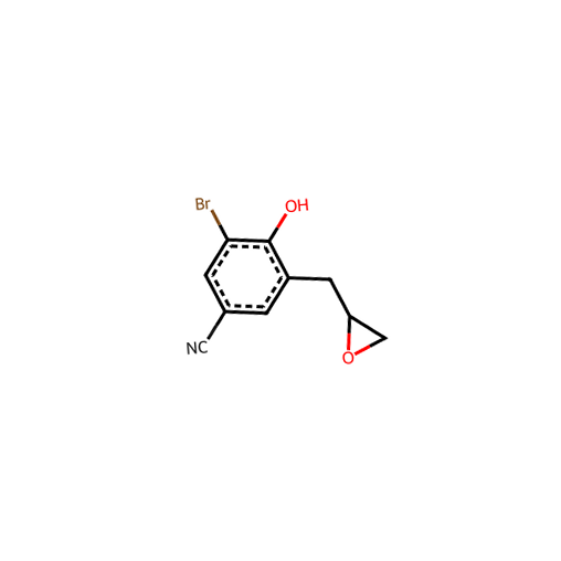 N#Cc1cc(Br)c(O)c(CC2CO2)c1